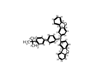 CC(C)(C)c1ccc(-c2ccc(N(c3ccc4oc5ccccc5c4c3)c3ccc4oc5ccccc5c4c3)cc2)cc1